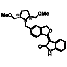 COC[C@@H]1CC[C@@H](COC)N1Cc1ccc2c(c1)COC2=C1C(=O)Nc2ccccc21